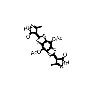 CC(=O)Oc1c2c(c(OC(C)=O)c3c1SC(=C1C(=O)NN=C1C)S3)SC(=C1C(=O)NN=C1C)S2